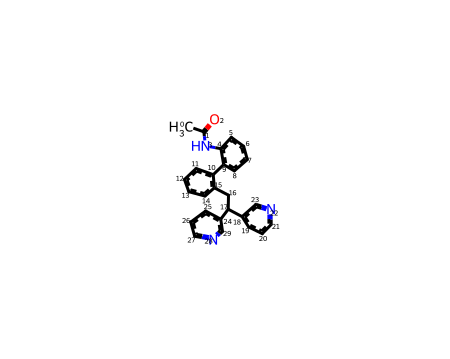 CC(=O)Nc1ccccc1-c1ccccc1CC(c1cccnc1)c1cccnc1